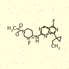 CCC1(c2nc(F)c3cnc(N[C@@H]4CCN(S(C)(=O)=O)C[C@H]4F)nn23)CC1